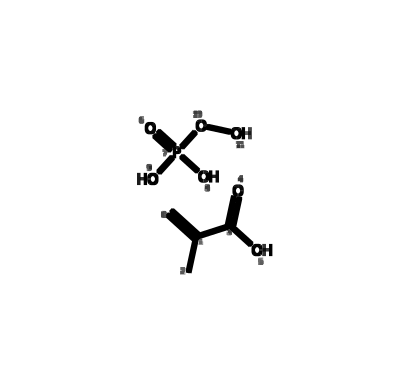 C=C(C)C(=O)O.O=P(O)(O)OO